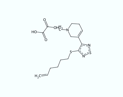 C=CCCCCSc1nsnc1C1=CCCN(C)C1.O=C(O)C(=O)O